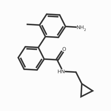 Cc1ccc(N)cc1-c1ccccc1C(=O)NCC1CC1